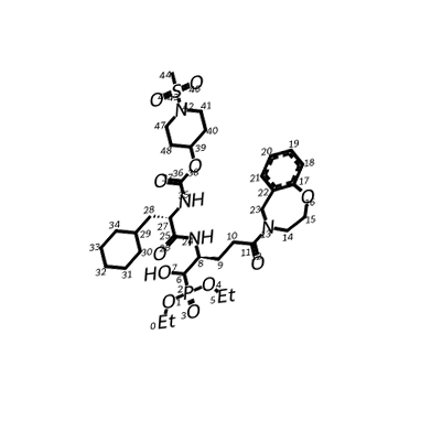 CCOP(=O)(OCC)C(O)[C@H](CCC(=O)N1CCOc2ccccc2C1)NC(=O)[C@H](CC1CCCCC1)NC(=O)OC1CCN(S(C)(=O)=O)CC1